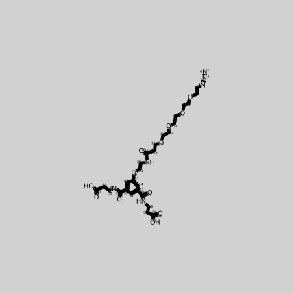 [N-]=[N+]=NCCOCCOCCOCCOCCC(=O)NCCOc1cc(C(=O)NCCC(=O)O)cc(C(=O)NCCC(=O)O)c1